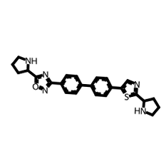 c1cc(-c2noc(C3CCCN3)n2)ccc1-c1ccc(-c2cnc(C3CCCN3)s2)cc1